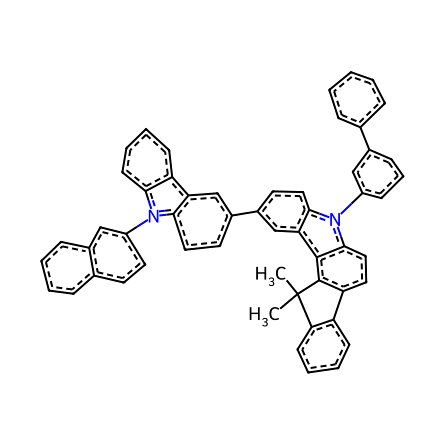 CC1(C)c2ccccc2-c2ccc3c(c21)c1cc(-c2ccc4c(c2)c2ccccc2n4-c2ccc4ccccc4c2)ccc1n3-c1cccc(-c2ccccc2)c1